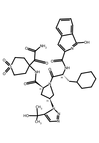 CC(C)(O)c1cnnn1[C@H]1C[C@@H](C(=O)NC2(C(=O)C(N)=O)CCS(=O)(=O)CC2)N(C(=O)[C@@H](CC2CCCCC2)NC(=O)c2cc3ccccc3c(O)n2)C1